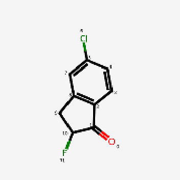 O=C1c2ccc(Cl)cc2CC1F